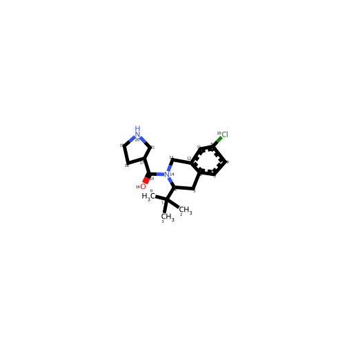 CC(C)(C)C1Cc2ccc(Cl)cc2CN1C(=O)C1CCNC1